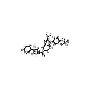 CC(C)c1nc2cc(C(=O)N3CCC(F)(c4cccnc4)C3)ccc2n1-c1ccc(OC(F)(F)F)cc1